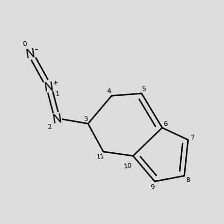 [N-]=[N+]=NC1CC=C2C=CC=C2C1